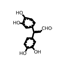 O=[C]C=C(c1ccc(O)c(O)c1)c1ccc(O)c(O)c1